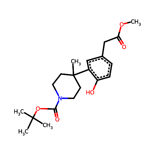 COC(=O)Cc1ccc(O)c(C2(C)CCN(C(=O)OC(C)(C)C)CC2)c1